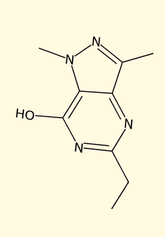 CCc1nc(O)c2c(n1)c(C)nn2C